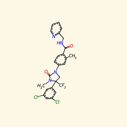 Cc1cc(N2CC(c3cc(Cl)cc(Cl)c3)(C(F)(F)F)N(C)C2=O)ccc1C(=O)NCc1ccccn1